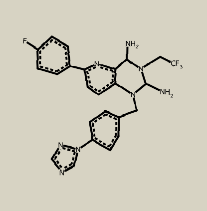 NC1c2nc(-c3ccc(F)cc3)ccc2N(Cc2ccc(-n3cncn3)cc2)C(N)N1CC(F)(F)F